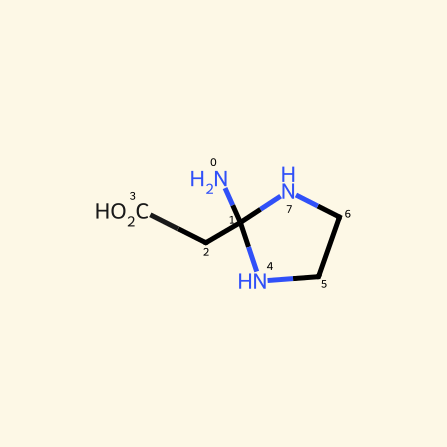 NC1(CC(=O)O)NCCN1